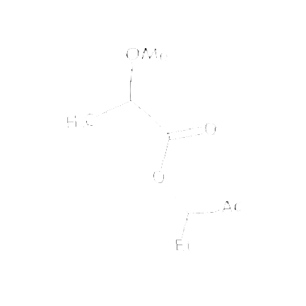 CCC(OC(=O)C(C)OC)C(C)=O